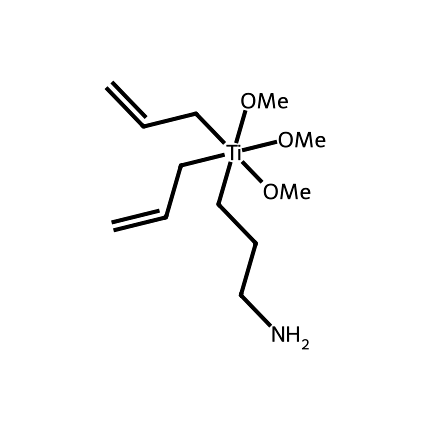 C=C[CH2][Ti]([CH2]C=C)([CH2]CCN)([O]C)([O]C)[O]C